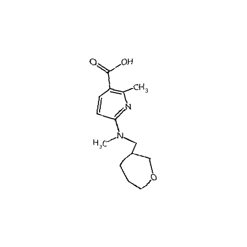 Cc1nc(N(C)CC2CCCOC2)ccc1C(=O)O